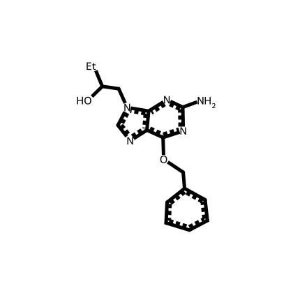 CCC(O)Cn1cnc2c(OCc3ccccc3)nc(N)nc21